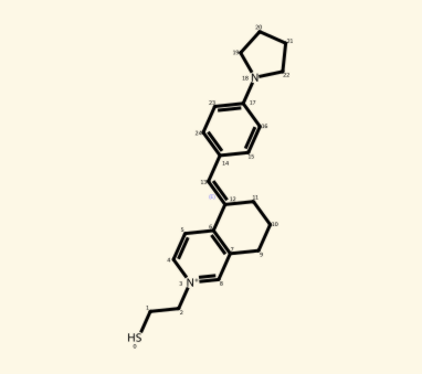 SCC[n+]1ccc2c(c1)CCC/C2=C\c1ccc(N2CCCC2)cc1